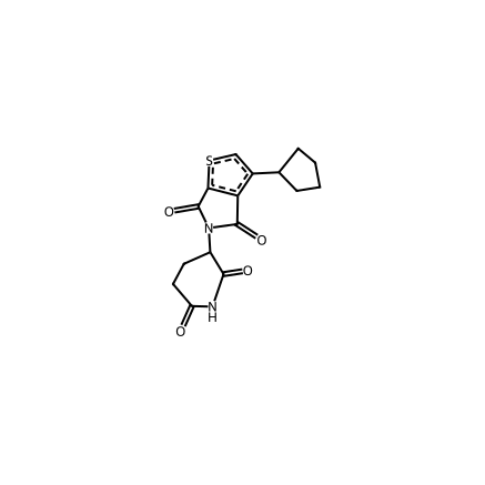 O=C1CCC(N2C(=O)c3scc(C4CCCC4)c3C2=O)C(=O)N1